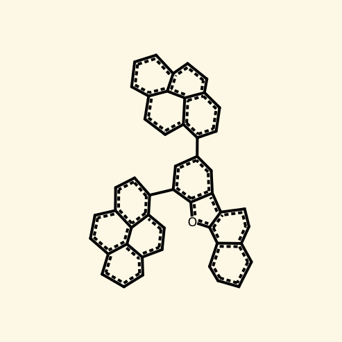 c1ccc2c(c1)ccc1c3cc(-c4ccc5ccc6cccc7ccc4c5c67)cc(-c4ccc5ccc6cccc7ccc4c5c67)c3oc21